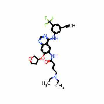 C#Cc1cc(Nc2ncnc3cc(OC4CCOC4)c(NC(=O)C=CCN(CC)CC)cc23)cc(C(F)(F)F)c1